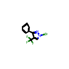 FC(F)(F)c1cn(Br)nc1-c1ccccc1